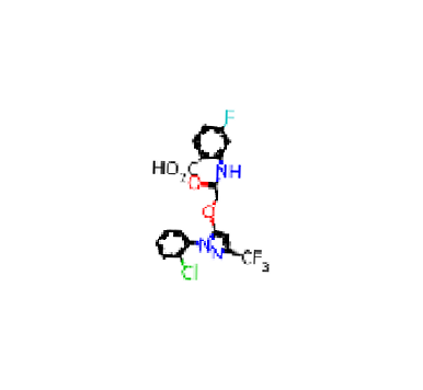 O=C(COc1cc(C(F)(F)F)nn1-c1ccccc1Cl)Nc1cc(F)ccc1C(=O)O